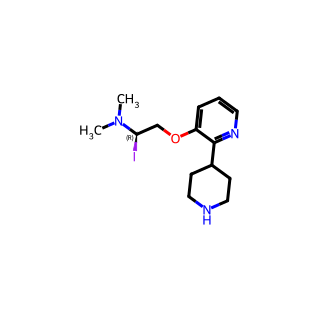 CN(C)[C@H](I)COc1cccnc1C1CCNCC1